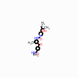 CCC(CC)CC1(O)CCN(C(=O)Nc2cc(C)cc(C(=O)c3ccc(C(=O)NC)cc3)c2)CC1